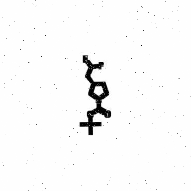 CC(C)(C)OC(=O)N1CC[C@H](CC(F)F)C1